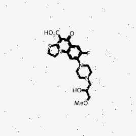 COCC(O)CN1CCN(c2cc3c(cc2F)c(=O)c(C(=O)O)c2n3CCS2)CC1